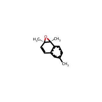 Cc1ccc2c(c1)C=C[C@@]1(C)O[C@@]21C